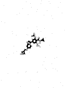 COc1cc(-c2cnc3cc(OCC4CNC4)ccn23)cc(OC(F)F)c1C(=O)NC1CC1